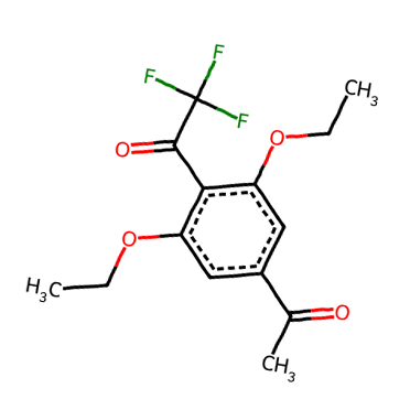 CCOc1cc(C(C)=O)cc(OCC)c1C(=O)C(F)(F)F